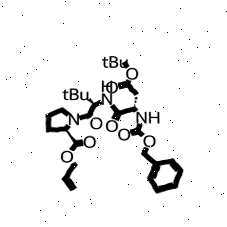 C=CCOC(=O)[C@H]1CCCN1C(=O)[C@H](NC(=O)[C@H](CC(=O)OC(C)(C)C)NC(=O)OCc1ccccc1)C(C)(C)C